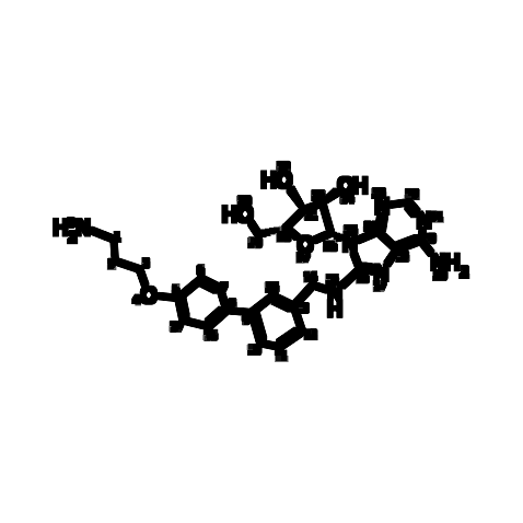 NCCCOc1ccc(-c2cccc(CNc3nc4c(N)ncnc4n3[C@@H]3O[C@H](CO)[C@@H](O)[C@H]3O)c2)cc1